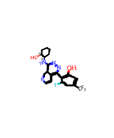 Oc1cc(C(F)(F)F)cc(F)c1-c1nnc(N[C@@H]2CCCC[C@@H]2O)c2cnccc12